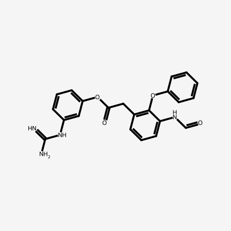 N=C(N)Nc1cccc(OC(=O)Cc2cccc(NC=O)c2Oc2ccccc2)c1